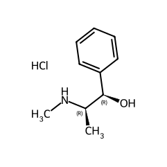 CN[C@H](C)[C@H](O)c1ccccc1.Cl